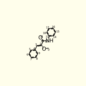 COC(=Cc1ccccc1)C(=O)Nc1ccccc1